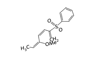 C=C(/C=C\C(=C/C)OC)S(=O)(=O)c1ccccc1